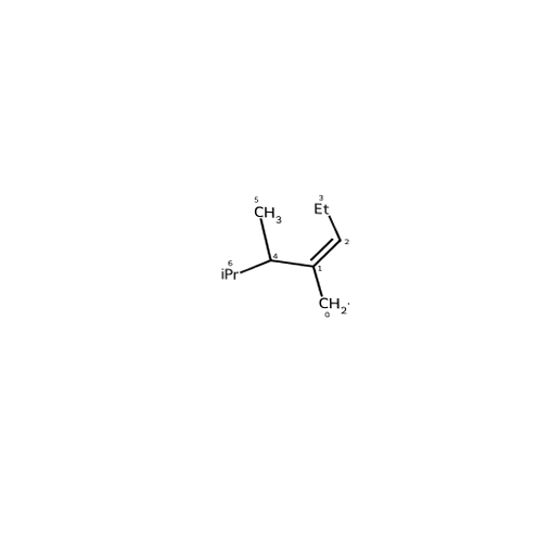 [CH2]C(=CCC)C(C)C(C)C